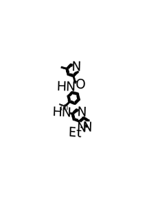 CCn1ncc2ncc(N[C@@H](C)c3cccc(NC(=O)c4cncc(C)c4)c3)cc21